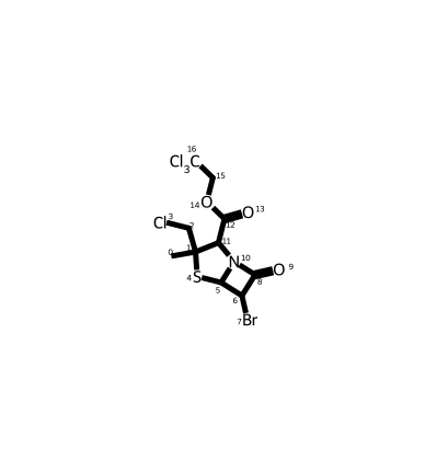 CC1(CCl)SC2C(Br)C(=O)N2C1C(=O)OCC(Cl)(Cl)Cl